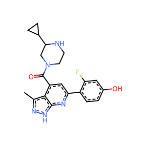 Cc1n[nH]c2nc(-c3ccc(O)cc3F)cc(C(=O)N3CCNC(C4CC4)C3)c12